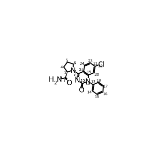 NC(=O)[C@H]1CCCN1c1nc(=O)n(-c2ccccc2)c2cc(Cl)ccc12